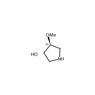 CO[C@@H]1CCNC1.Cl